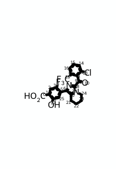 O=C(O)c1cc(F)c(-c2nc(C(=O)c3c(Cl)cccc3C(F)(F)F)n3c2CCCC3)cc1O